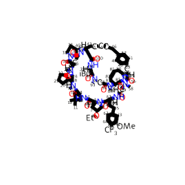 CCO[C@@H]1C[C@H]2C(=O)NC3(CC(C)(C)C3)C(=O)N(C)[C@@H](C3CCCC3)C(=O)N(C)[C@H](C(=O)N3CCCC3)CC(=O)N(C)[C@H]3CCCCCc4ccc(cc4)C[C@@H](C(=O)N(C)CC(=O)N[C@@H](CCc4ccc(C(F)(F)F)c(OC)c4)C(=O)N2C1)N1CC/C=C\C[C@@H](C1=O)N(C)C(=O)CN(C)C(=O)[C@H]([C@@H](C)CC)NC3=O